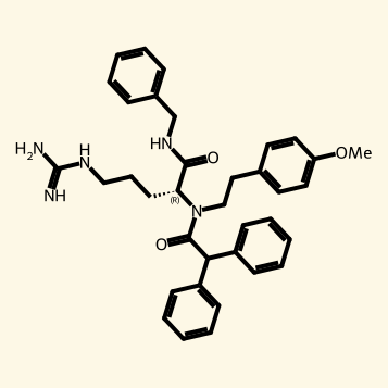 COc1ccc(CCN(C(=O)C(c2ccccc2)c2ccccc2)[C@H](CCCNC(=N)N)C(=O)NCc2ccccc2)cc1